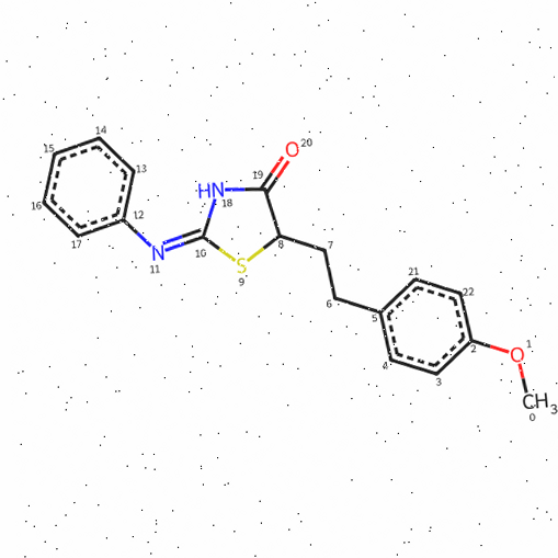 COc1ccc(CCC2S/C(=N/c3ccccc3)NC2=O)cc1